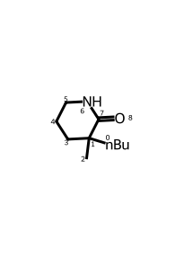 CCCCC1(C)CCCNC1=O